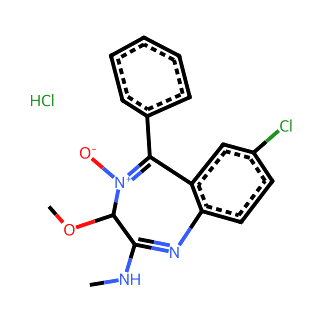 CNC1=Nc2ccc(Cl)cc2C(c2ccccc2)=[N+]([O-])C1OC.Cl